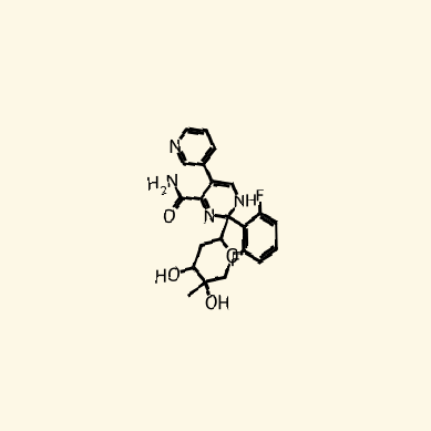 CC1(O)COC(C2(c3c(F)cccc3F)N=C(C(N)=O)C(c3cccnc3)=CN2)CC1O